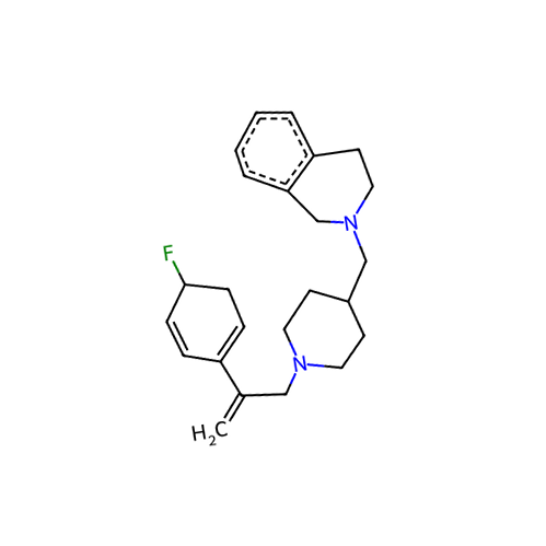 C=C(CN1CCC(CN2CCc3ccccc3C2)CC1)C1=CCC(F)C=C1